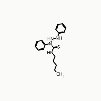 CCCCCNC(=S)N(NNc1ccccc1)c1ccccc1